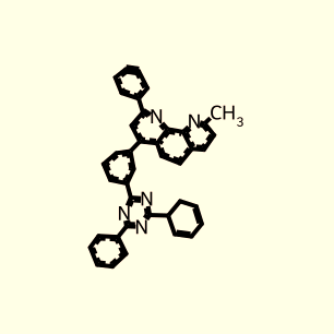 Cc1ccc2ccc3c(-c4cccc(-c5nc(-c6ccccc6)nc(C6C=CC=CC6)n5)c4)cc(-c4cc#ccc4)nc3c2n1